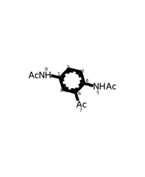 CC(=O)Nc1ccc(NC(C)=O)c(C(C)=O)c1